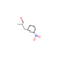 CC(C=O)Cc1cccc([N+](=O)[O-])c1